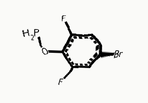 Fc1cc(Br)cc(F)c1OP